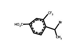 CC(Br)c1ccc(C(=O)O)cc1C(F)(F)F